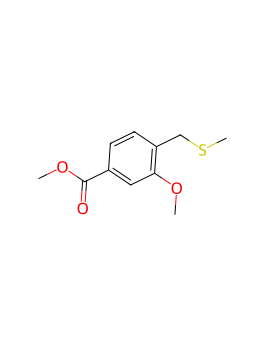 COC(=O)c1ccc(CSC)c(OC)c1